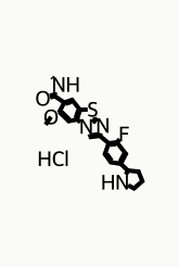 CNC(=O)c1cc2sc3nc(-c4ccc(C5CCCN5)cc4F)cn3c2cc1OC.Cl